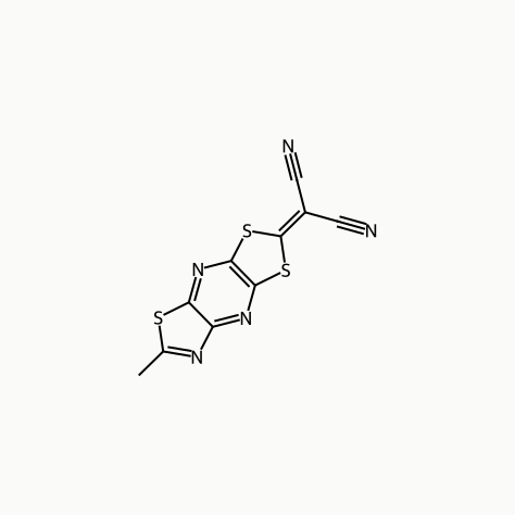 Cc1nc2nc3c(nc2s1)SC(=C(C#N)C#N)S3